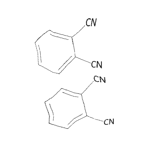 N#Cc1ccccc1C#N.N#Cc1ccccc1C#N